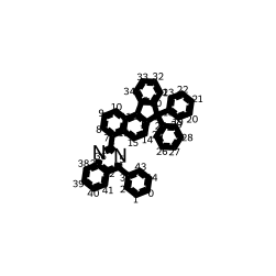 c1ccc(-c2nc(-c3cccc4c5c(ccc34)C(c3ccccc3)(c3ccccc3)c3ccccc3-5)nc3ccccc23)cc1